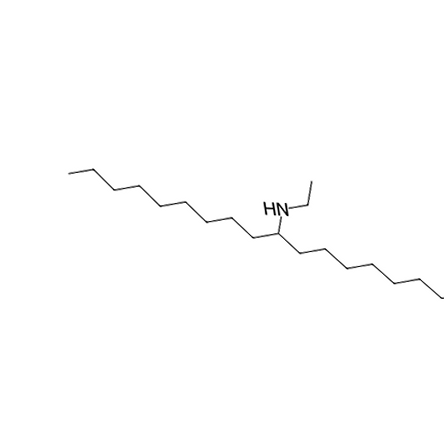 CCCCCCCCCC(CCCCCCCC)NCC